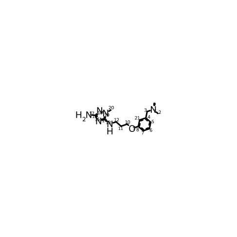 CN(C)Cc1cccc(OCCCNc2nc(N)nn2C)c1